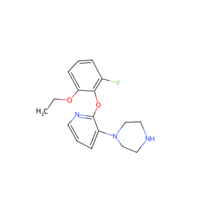 CCOc1cccc(F)c1Oc1ncccc1N1CCNCC1